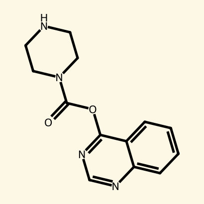 O=C(Oc1ncnc2ccccc12)N1CCNCC1